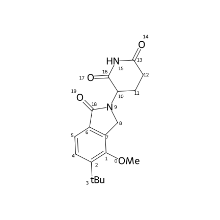 COc1c(C(C)(C)C)ccc2c1CN(C1CCC(=O)NC1=O)C2=O